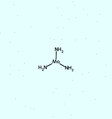 [NH2][Mo]([NH2])[NH2]